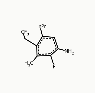 CCCc1cc(N)c(F)c(C)c1CC(F)(F)F